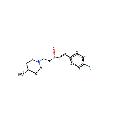 CCOC(=O)C1CCN(CCC(=O)C=Cc2ccc(Cl)cc2)CC1